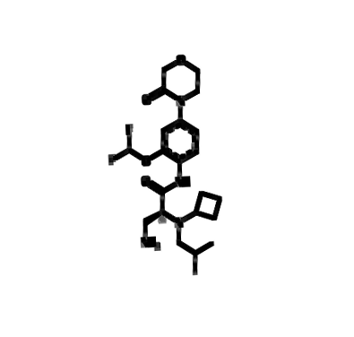 CC(C)CN(C1CCC1)[C@@H](CN)C(=O)Nc1ccc(N2CCOCC2=O)cc1OC(F)F